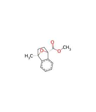 COC(=O)[C@@]12CC[C@@](C)(O1)c1ccccc12